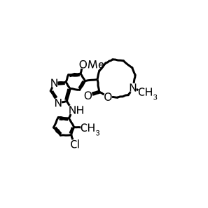 COc1cc2ncnc(Nc3cccc(Cl)c3C)c2cc1C1CCCCCCN(C)CCOC1=O